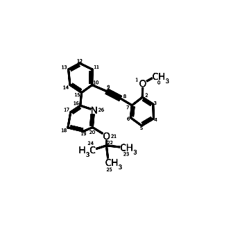 COc1ccccc1C#Cc1ccccc1-c1cccc(OC(C)(C)C)n1